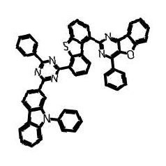 c1ccc(-c2nc(-c3ccc4c5ccccc5n(-c5ccccc5)c4c3)nc(-c3cccc4c3sc3cccc(-c5nc(-c6ccccc6)c6oc7ccccc7c6n5)c34)n2)cc1